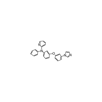 c1ccc(N(c2cccc(Oc3cccc(-n4ccnc4)c3)c2)c2ccccn2)cc1